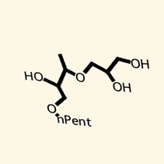 CCCCCOCC(O)C(C)OCC(O)CO